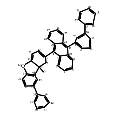 CC12CC(c3c4ccccc4c(-c4cccc(-c5ccccc5)c4)c4ccccc34)=CC=C1Oc1ccc(-c3ccccc3)cc12